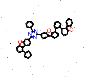 C1=Cc2oc3ccccc3c2C(c2ccccc2-c2cccc3c2oc2cc(-c4nc(-c5ccccc5)nc(-c5ccc6c(c5)oc5cccc(-c7ccccc7)c56)n4)ccc23)C1